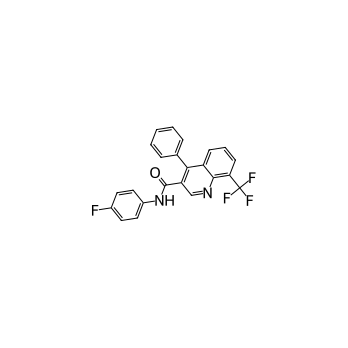 O=C(Nc1ccc(F)cc1)c1cnc2c(C(F)(F)F)cccc2c1-c1ccccc1